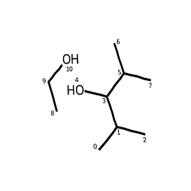 CC(C)C(O)C(C)C.CCO